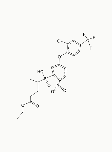 CCOC(=O)CCC(C)P(=O)(O)c1cc(Oc2ccc(C(F)(F)F)cc2Cl)ccc1[N+](=O)[O-]